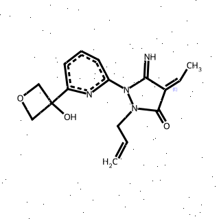 C=CCN1C(=O)/C(=C/C)C(=N)N1c1cccc(C2(O)COC2)n1